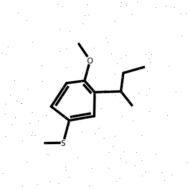 CCC(C)c1cc(SC)ccc1OC